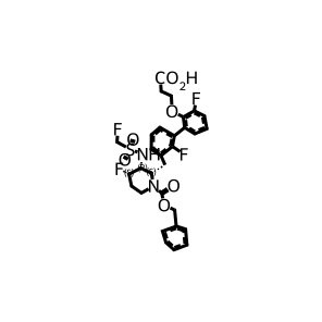 O=C(O)CCOc1c(F)cccc1-c1cccc(C[C@H]2[C@@H](NS(=O)(=O)CF)[C@@H](F)CCN2C(=O)OCc2ccccc2)c1F